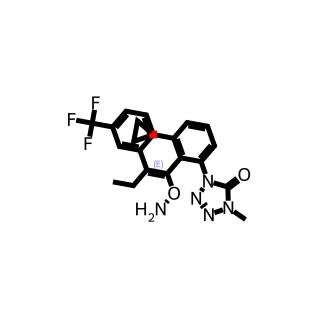 CC/C(=C(\ON)c1c(C2CC2)cccc1-n1nnn(C)c1=O)c1cccc(C(F)(F)F)c1